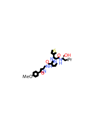 COc1ccc(-c2cc(CNC(=O)c3cccn4c(C(=O)N[C@H](CO)CC(C)C)c(-c5ccsc5)nc34)no2)cc1